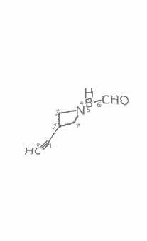 C#CC1CN(BC=O)C1